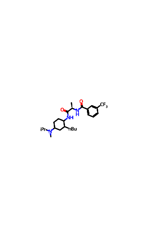 CCCCC1CC(N(C)C(C)C)CCC1NC(=O)[C@@H](C)NC(=O)c1cccc(C(F)(F)F)c1